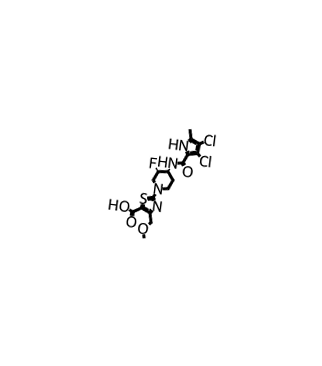 COCc1nc(N2CC[C@@H](NC(=O)c3[nH]c(C)c(Cl)c3Cl)[C@@H](F)C2)sc1C(=O)O